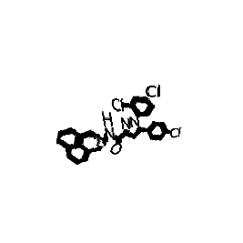 O=C(NN1Cc2cccc3cccc(c23)C1)C1=NN(c2ccc(Cl)cc2Cl)C(c2ccc(Cl)cc2)C1